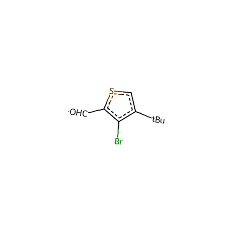 CC(C)(C)c1csc([C]=O)c1Br